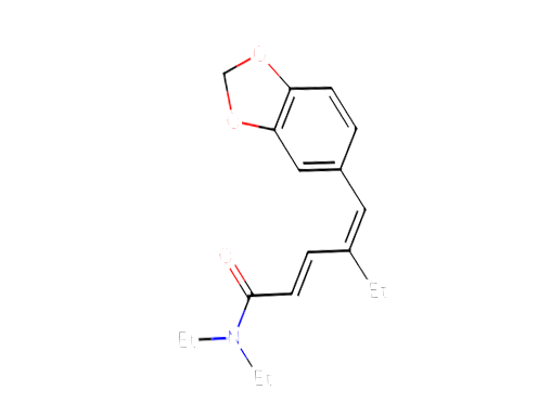 CCC(C=CC(=O)N(CC)CC)=Cc1ccc2c(c1)OCO2